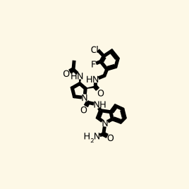 CC(=O)N[C@@H]1CCN(C(=O)Nc2cn(C(N)=O)c3ccccc23)[C@@H]1C(=O)NCc1cccc(Cl)c1F